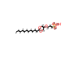 CCCCCCCCCCCC1OCC(OCCCS(=O)(=O)O)CO1